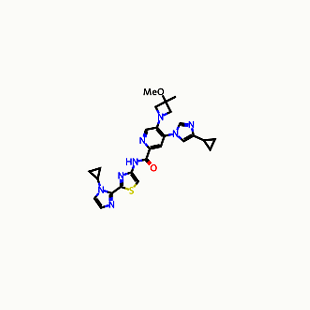 COC1(C)CN(c2cnc(C(=O)Nc3csc(-c4nccn4C4CC4)n3)cc2-n2cnc(C3CC3)c2)C1